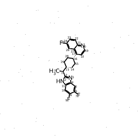 C[C@H](c1nc2cc(F)c(F)cc2[nH]1)[C@H]1CC[C@@H](c2ccnc3ccc(F)cc32)CC1